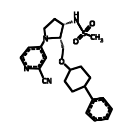 CS(=O)(=O)N[C@H]1CCN(c2ccnc(C#N)c2)[C@H]1COC1CCC(c2ccccc2)CC1